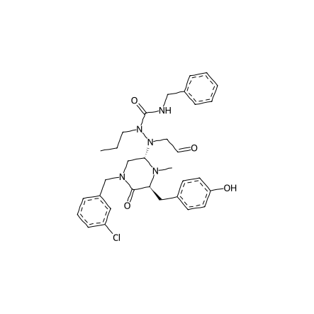 CCCN(C(=O)NCc1ccccc1)N(CC=O)[C@H]1CN(Cc2cccc(Cl)c2)C(=O)[C@H](Cc2ccc(O)cc2)N1C